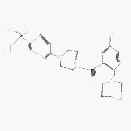 O=C(c1cc(Br)ccc1N1CCOCC1)N1CCN(c2ccc(C(F)(F)F)cc2)CC1